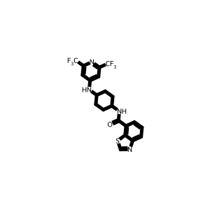 O=C(NC1CCC(Nc2cc(C(F)(F)F)nc(C(F)(F)F)c2)CC1)c1cccc2ncsc12